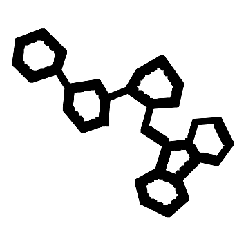 C1=CCn2c(c3ccccc3/c2=C/c2ccccc2-c2cc(-c3ccccc3)ccn2)=C1